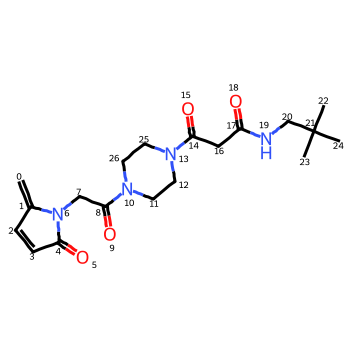 C=C1C=CC(=O)N1CC(=O)N1CCN(C(=O)CC(=O)NCC(C)(C)C)CC1